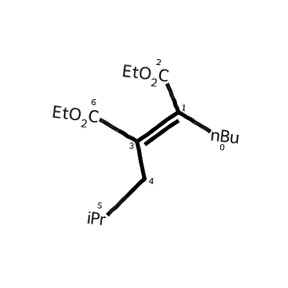 CCCCC(C(=O)OCC)=C(CC(C)C)C(=O)OCC